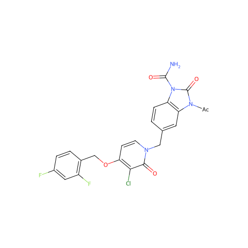 CC(=O)n1c(=O)n(C(N)=O)c2ccc(Cn3ccc(OCc4ccc(F)cc4F)c(Cl)c3=O)cc21